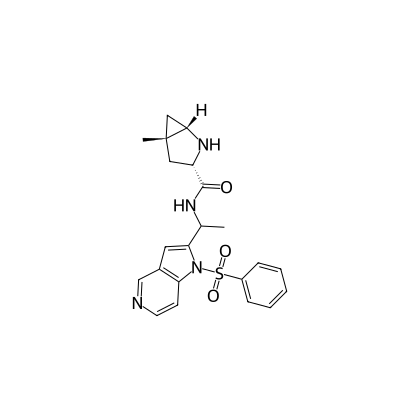 CC(NC(=O)[C@@H]1C[C@]2(C)C[C@@H]2N1)c1cc2cnccc2n1S(=O)(=O)c1ccccc1